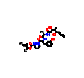 C=C/C=C/[C@@H](O)C(C)[C@@H](O)CC(=O)N[C@H](C(=O)N[C@@H](Cc1cccc(O)c1)C(=O)N1CCC[C@@H](C(=O)O[C@@H](CC)/C(C)=C/C(C)C)N1)C(C)C